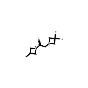 CC1CN(C(=O)CN2CC(F)(F)C2)C1